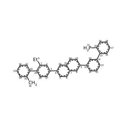 CCc1cc(-c2ccc3cc(-c4cccc(-c5ccccc5P)c4)ccc3c2)ccc1-c1ccccc1C